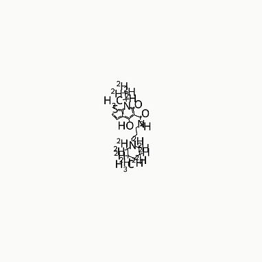 [2H]N(CCCN1C([2H])([2H])C([2H])([2H])C([2H])(C)C([2H])([2H])C1([2H])[2H])C(=O)c1c(O)c2ccsc2n(C([2H])(C)C([2H])([2H])[2H])c1=O